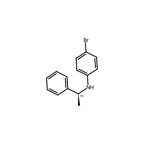 C[C@H](Nc1ccc(Br)cc1)c1ccccc1